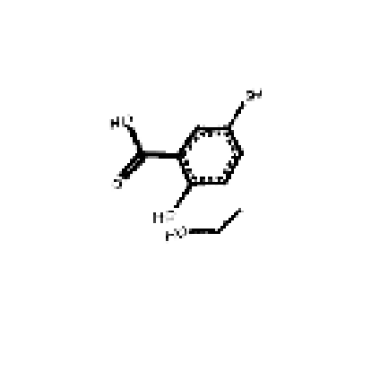 CCO.O=C(O)c1cc(S)ccc1O